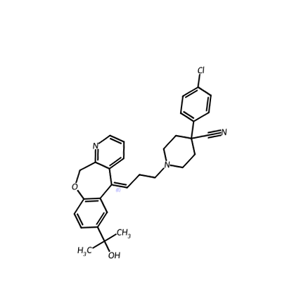 CC(C)(O)c1ccc2c(c1)/C(=C/CCN1CCC(C#N)(c3ccc(Cl)cc3)CC1)c1cccnc1CO2